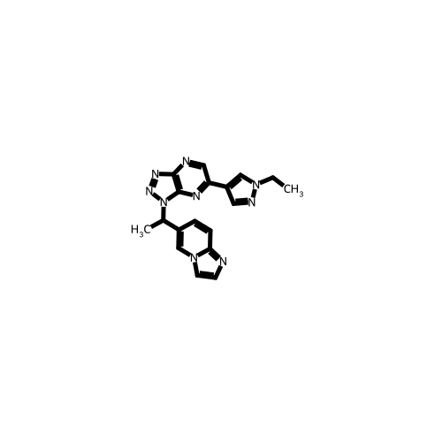 CCn1cc(-c2cnc3nnn(C(C)c4ccc5nccn5c4)c3n2)cn1